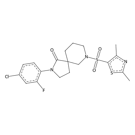 Cc1nc(C)c(S(=O)(=O)N2CCCC3(CCN(c4ccc(Cl)cc4F)C3=O)C2)s1